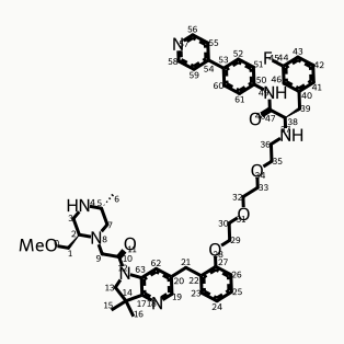 COC[C@H]1CN[C@H](C)CN1CC(=O)N1CC(C)(C)c2ncc(Cc3ccccc3OCCOCCOCCN[C@H](Cc3cccc(F)c3)C(=O)Nc3ccc(-c4ccncc4)cc3)cc21